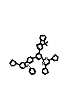 CC1(C)c2ccccc2-c2ccc(-c3cc(-c4ccc5c6cc(-c7ccccc7)ccc6n(-c6ccccc6)c5c4)cc(-c4nc(-c5ccccc5)cc(-c5ccccc5)n4)c3)cc21